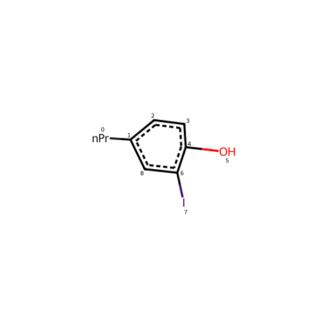 CCCc1ccc(O)c(I)c1